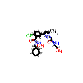 Cc1cc(-c2ccc(Cl)c(C(=O)NCC3(O)CCCCCC3)c2)nn1CC(=O)NCCO